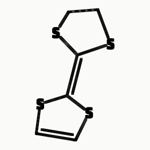 C1=CSC(=C2SCCS2)S1